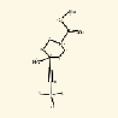 CC(C)(C)OC(=O)N1CCC(O)(C#CS(C)(C)C)CC1